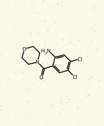 Nc1cc(Cl)c(Cl)cc1C(=O)N1CCOCC1